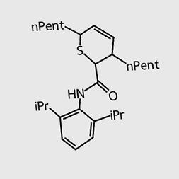 CCCCCC1C=CC(CCCCC)C(C(=O)Nc2c(C(C)C)cccc2C(C)C)S1